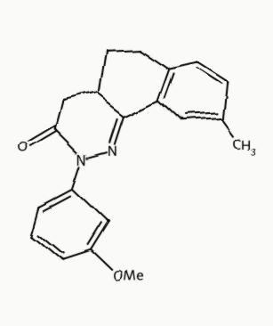 COc1cccc(N2N=C3c4cc(C)ccc4CCC3CC2=O)c1